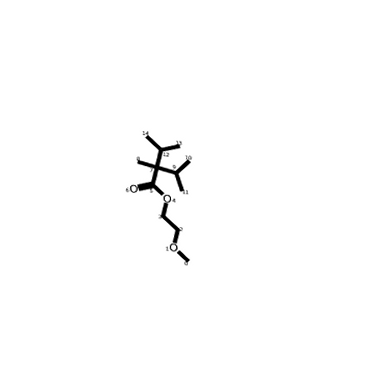 COCCOC(=O)C(C)(C(C)C)C(C)C